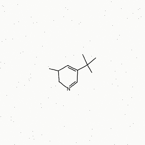 CC1C=C(C(C)(C)C)C=NC1